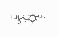 [CH2]C1CCN(CCC(N)=O)CC1